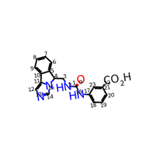 O=C(NCC1c2ccccc2-c2cncn21)Nc1cccc(C(=O)O)c1